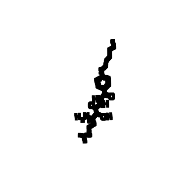 CCCCCCSc1ccc(C(=O)NNC(=O)C(O)[C@H](N)CCSC(C)C)cc1